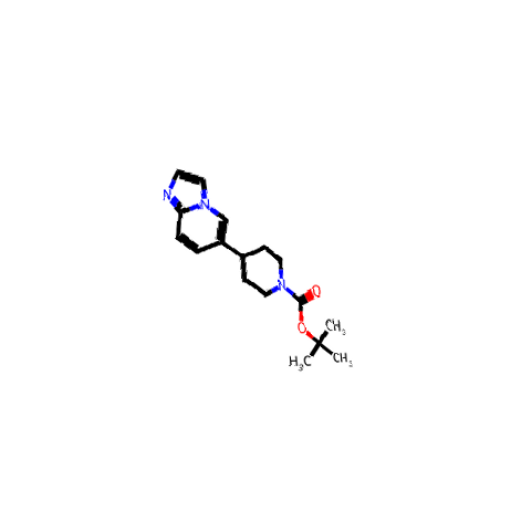 CC(C)(C)OC(=O)N1CCC(c2ccc3nccn3c2)CC1